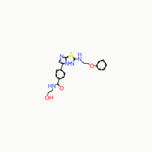 O=C(NCCO)c1ccc(-c2cnc3sc(NCCOc4ccccc4)nn23)cc1